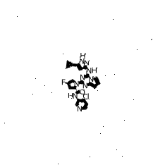 O=C(Nc1cnccc1Cl)[C@@H]1C[C@@H](F)CN1c1nc(Nc2cc(C3CC3)[nH]n2)n2cccc2n1